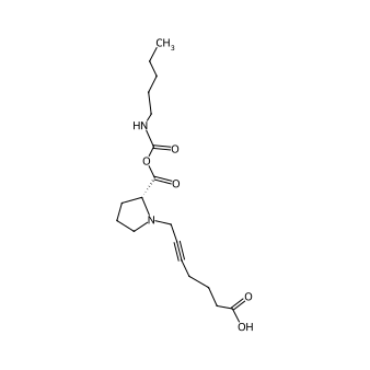 CCCCCNC(=O)OC(=O)[C@H]1CCCN1CC#CCCCC(=O)O